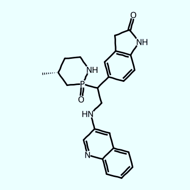 C[C@@H]1CCNP(=O)(C(CNc2cnc3ccccc3c2)c2ccc3c(c2)CC(=O)N3)C1